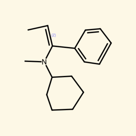 C/C=C(/c1ccccc1)N(C)C1CCCCC1